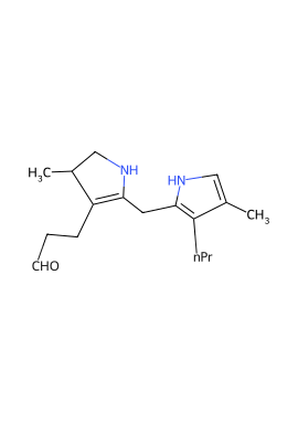 CCCc1c(C)c[nH]c1CC1=C(CCC=O)C(C)CN1